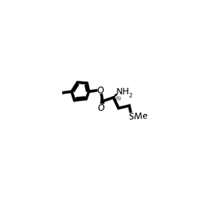 CSCC[C@H](N)C(=O)Oc1ccc(C)cc1